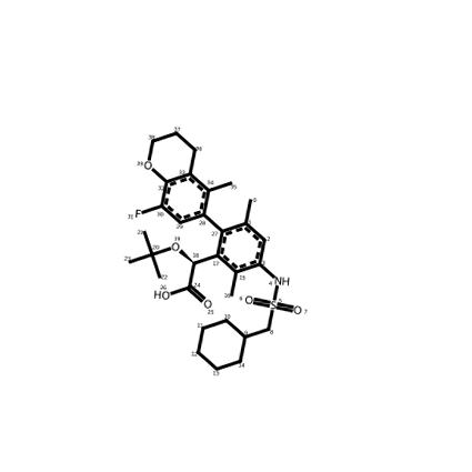 Cc1cc(NS(=O)(=O)CC2CCCCC2)c(C)c([C@H](OC(C)(C)C)C(=O)O)c1-c1cc(F)c2c(c1C)CCCO2